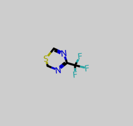 FC(F)(F)C1=NCSC=N1